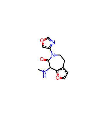 CNC1C(=O)N(c2cocn2)CCc2ccoc21